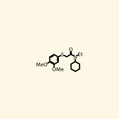 CCN(C(=O)CSc1ccc(OC)c(OC)c1)C1CCCCC1